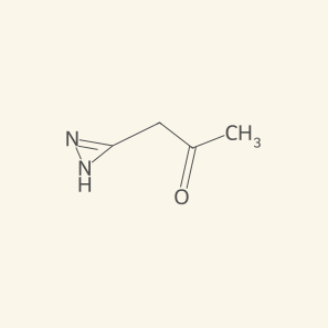 CC(=O)CC1=NN1